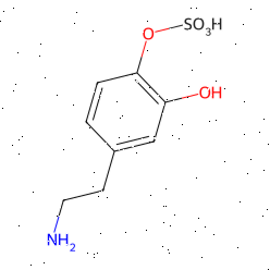 NCCc1ccc(OS(=O)(=O)O)c(O)c1